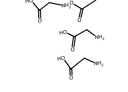 CC(=O)O.NCC(=O)O.NCC(=O)O.NCC(=O)O